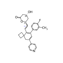 Cc1cc(C2=C(/C=C/[C@@H]3C[C@@H](O)CC(=O)O3)C3(CCC3)CC(c3ccncc3)=C2)ccc1F